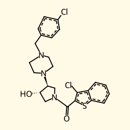 O=C(c1sc2ccccc2c1Cl)N1C[C@H](O)[C@@H](N2CCN(Cc3ccc(Cl)cc3)CC2)C1